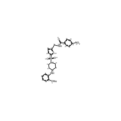 COc1ccccc1NC1CCN(S(=O)(=O)c2ccc(CNC(=O)c3ccc([N+](=O)[O-])cc3)s2)CC1